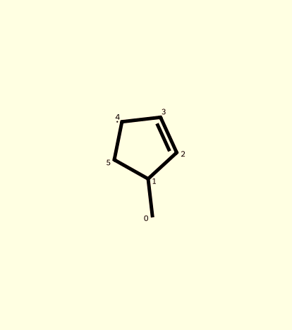 CC1C=C[CH]C1